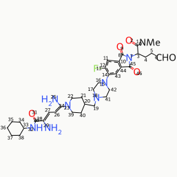 CNC(=O)C(CCC=O)N1C(=O)c2cc(F)c(N3CCN(CC4CCN(/C(N)=C/C=C(\N)C(=O)NC5CCCCC5)CC4)CC3)cc2C1=O